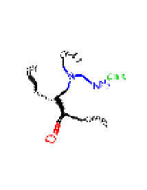 COC(=O)[C@H](CC(C)C)N(C)N.Cl